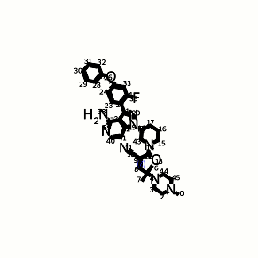 CN1CCN(C(C)(C)/C=C(/C#N)C(=O)N2CCC[C@@H](n3nc(-c4ccc(Oc5ccccc5)cc4F)c4c(N)nccc43)C2)CC1